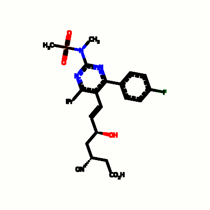 CC(C)c1nc(N(C)S(C)(=O)=O)nc(-c2ccc(F)cc2)c1/C=C/[C@@H](O)C[C@H](CC(=O)O)N=O